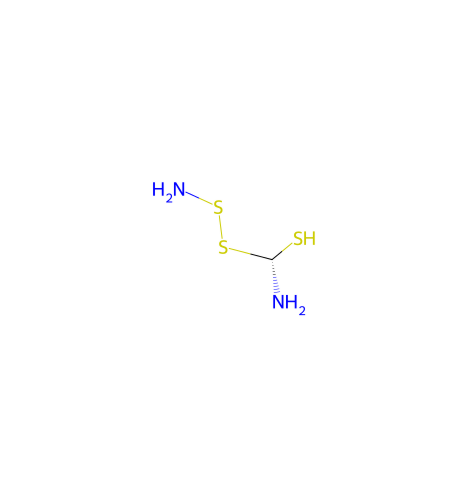 NSS[C@@H](N)S